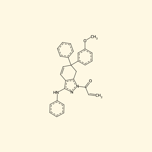 C=CC(=O)n1nc(Nc2ccccc2)c2c1CC(c1ccccc1)(c1cccc(OC)c1)C=C2